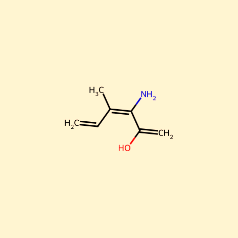 C=C/C(C)=C(/N)C(=C)O